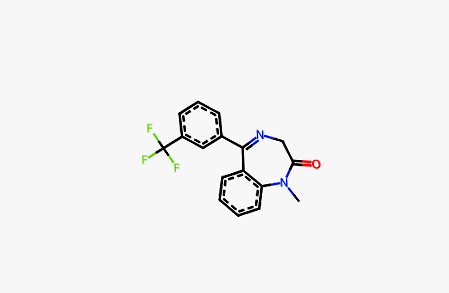 CN1C(=O)CN=C(c2cccc(C(F)(F)F)c2)c2ccccc21